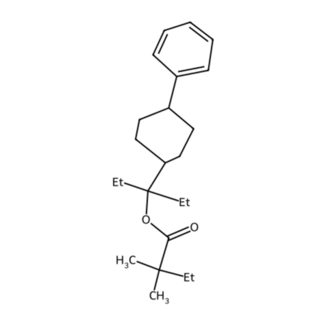 CCC(C)(C)C(=O)OC(CC)(CC)C1CCC(c2ccccc2)CC1